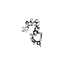 CC(C)[C@H](NC(=O)[C@@H]1CCCN1C(=O)[C@@H](N)CC(=O)O)C(=O)N=[S@](C)(=O)Cc1cc2nc(c1)OCCCOc1cc(F)ccc1-c1cc(ncc1F)N2